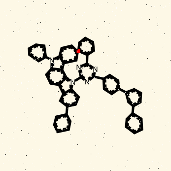 c1ccc(-c2cccc(-c3ccc(-c4nc(-c5ccccc5)nc(-n5c6ccc(-c7ccccc7)cc6c6ccc7c(c8ccccc8n7-c7ccccc7)c65)n4)cc3)c2)cc1